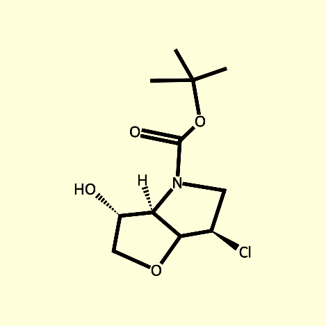 CC(C)(C)OC(=O)N1C[C@@H](Cl)C2OC[C@H](O)[C@H]21